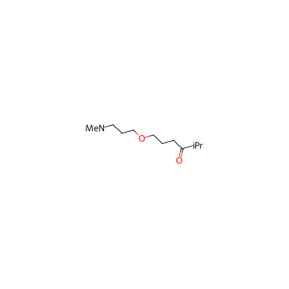 CNCCCOCCCC(=O)C(C)C